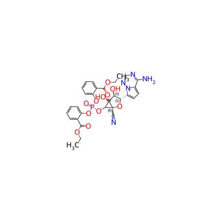 CCOC(=O)c1ccccc1OP(=O)(Oc1ccccc1C(=O)OCC)OC1[C@@]2(C#N)O[C@@H](c3ccc4c(N)ncnn34)[C@H](O)[C@@]12O